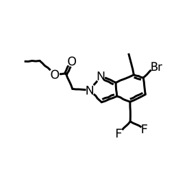 CCOC(=O)Cn1cc2c(C(F)F)cc(Br)c(C)c2n1